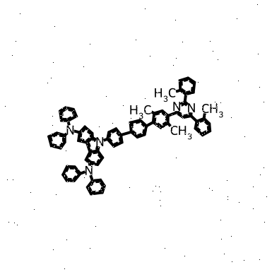 Cc1cc(-c2cc(-c3ccccc3C)nc(-c3ccccc3C)n2)c(C)cc1-c1ccc(-c2ccc(-n3c4ccc(N(c5ccccc5)c5ccccc5)cc4c4cc(N(c5ccccc5)c5ccccc5)ccc43)cc2)cc1